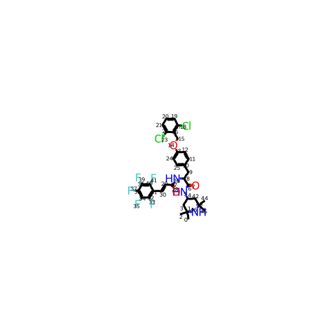 CC1(C)CC(NC(=O)C(Cc2ccc(OCc3c(Cl)cccc3Cl)cc2)NC(=O)C=Cc2c(F)c(F)c(F)c(F)c2F)CC(C)(C)N1